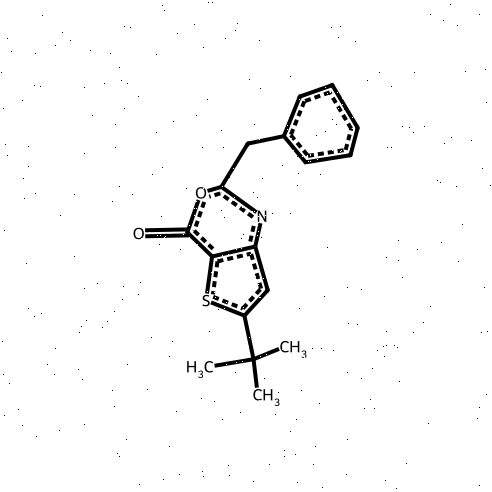 CC(C)(C)c1cc2nc(Cc3ccccc3)oc(=O)c2s1